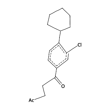 CC(=O)CCC(=O)c1ccc(C2CCCCC2)c(Cl)c1